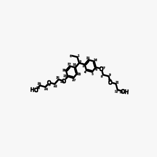 CCC(c1ccc(OCCOCCO)cc1)c1ccc(OCCOCCO)cc1